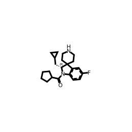 O=C(C1CCCC1)N1c2ccc(F)cc2C2(CCNCC2)[C@H]1CC1CC1